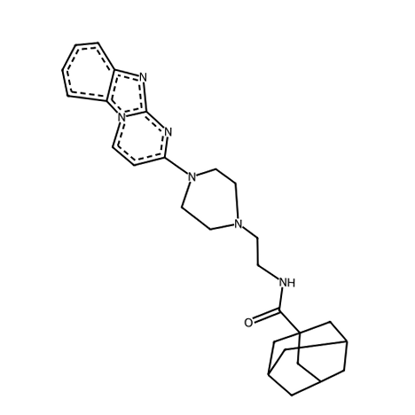 O=C(NCCN1CCN(c2ccn3c(n2)nc2ccccc23)CC1)C12CC3CC(CC(C3)C1)C2